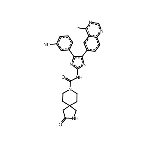 Cc1ncnc2ccc(-c3sc(NC(=O)N4CCC5(CC4)CNC(=O)C5)nc3-c3cccc(C#N)c3)cc12